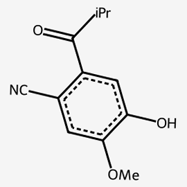 COc1cc(C#N)c(C(=O)C(C)C)cc1O